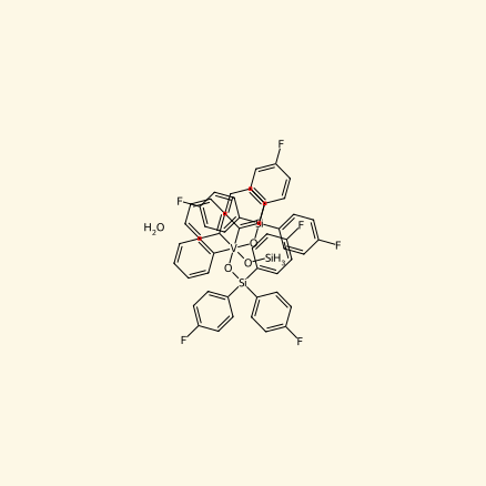 Fc1ccc([Si]([O][V]([O][SiH3])([O][Si](c2ccc(F)cc2)(c2ccc(F)cc2)c2ccc(F)cc2)([c]2ccccc2)([c]2ccccc2)[c]2ccccc2)(c2ccc(F)cc2)c2ccc(F)cc2)cc1.O